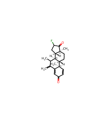 C=C1C2=CC(=O)C=C[C@]2(C)[C@H]2CC[C@]3(C)C(=O)C(F)C[C@H]3[C@@H]2C1C